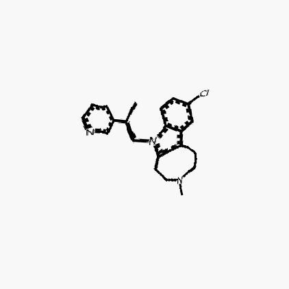 CC(=Cn1c2c(c3cc(Cl)ccc31)CCN(C)CC2)c1cccnc1